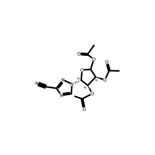 CC(=O)OC1O[C@@H](n2cnc(C#N)n2)[C@H](OC(C)=O)[C@@H]1OC(C)=O